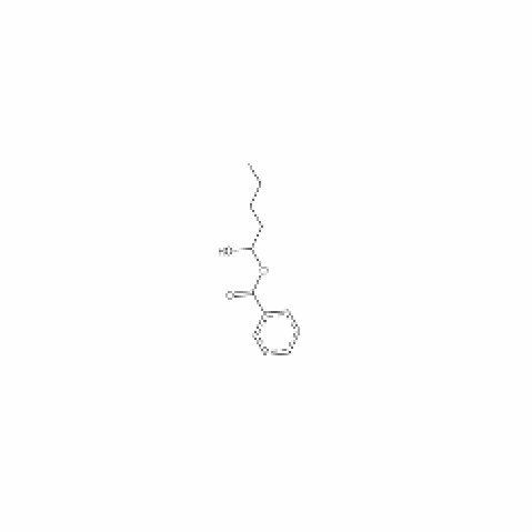 CCCCC(O)OC(=O)c1ccccc1